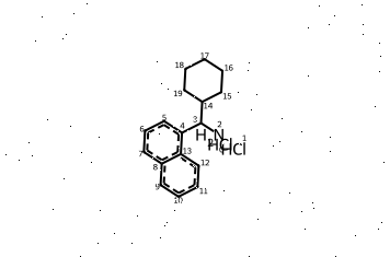 Cl.Cl.NC(c1cccc2ccccc12)C1CCCCC1